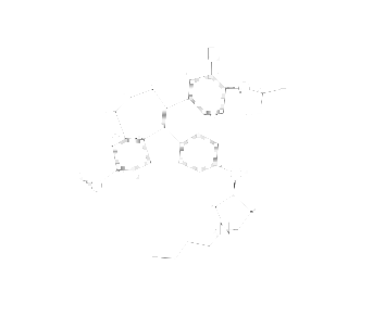 FCCCN1CC[C@H](Oc2ccc(C3=C(c4ccc(OC(F)F)c(F)c4)CCCc4cc(OF)ccc43)cc2)C1